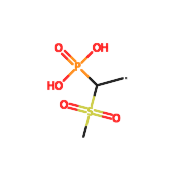 [CH2]C(P(=O)(O)O)S(C)(=O)=O